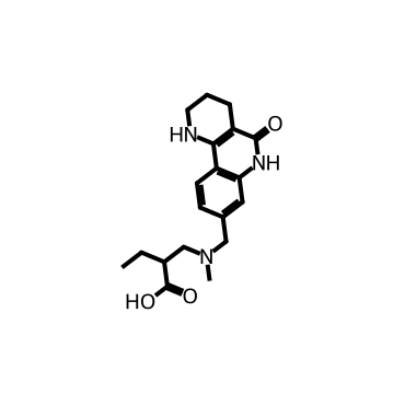 CCC(CN(C)Cc1ccc2c3c(c(=O)[nH]c2c1)CCCN3)C(=O)O